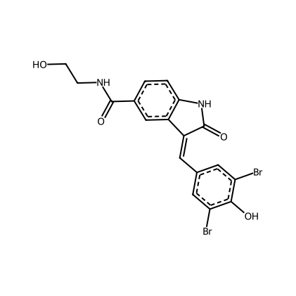 O=C1Nc2ccc(C(=O)NCCO)cc2C1=Cc1cc(Br)c(O)c(Br)c1